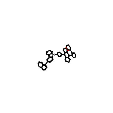 c1ccc(-c2ccccc2-c2c3ccccc3c(-c3ccc(-n4c5ccccc5c5cc(-c6cccc7ccccc67)ccc54)cc3)c3ccccc23)cc1